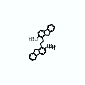 CC(C)(C)c1ccc2c(c1CCc1c(C(C)(C)C)ccc3c1Cc1ccccc1-3)Cc1ccccc1-2.[Hf]